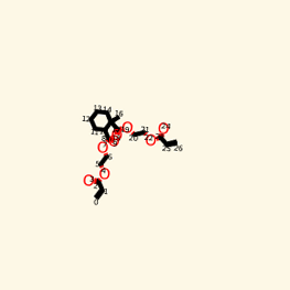 C=CC(=O)OCCOC(=O)C1CCCCC1(C)C(=O)OCCOC(=O)C=C